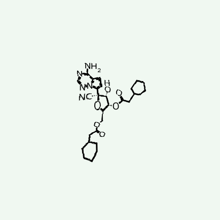 N#C[C@@]1(c2ccc3c(N)ncnn23)O[C@H](COC(=O)CC2CCCCC2)[C@@H](OC(=O)CC2CCCCC2)[C@H]1O